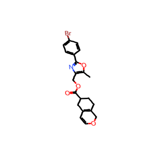 Cc1oc(-c2ccc(Br)cc2)nc1COC(=O)C1CCC2=C(C=COC2)C1